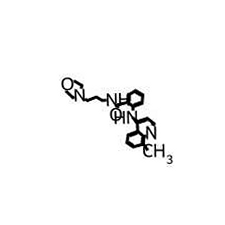 Cc1cccc2c(Nc3ccccc3C(=O)NCCCN3CCOCC3)ccnc12